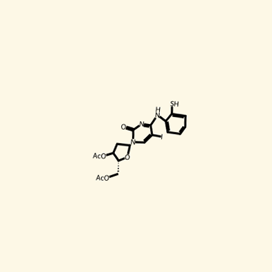 CC(=O)OC[C@H]1O[C@@H](n2cc(I)c(Nc3ccccc3S)nc2=O)CC1OC(C)=O